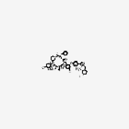 COC[C@@H]1NC(=O)[C@H](C)N(Cc2ccc(Cl)cc2Oc2ccc(-c3cnc(CN4CCC(O)CC4)n3C)cc2)C(=O)C[C@@H](Cc2ccccc2)C(=O)N2CCC[C@@](Cc3ccc(Cl)cc3)(C2)NC1=O